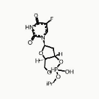 CC(C)O[PH]1(O)OC[C@H]2O[C@@H](n3cc(F)c(=O)[nH]c3=O)C[C@@H]2O1